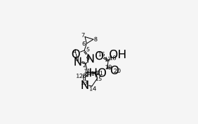 C1=C(c2noc(C3CC3)n2)C2CCN1CC2.O=C(O)C(=O)O